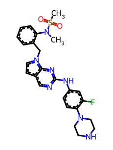 CN(c1ccccc1Cn1ccc2cnc(Nc3ccc(N4CCNCC4)c(F)c3)nc21)S(C)(=O)=O